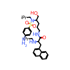 CC(C)CNC(Cc1cccc2ccccc12)C(=O)NCCCC(CO)N(CC(C)C)S(=O)(=O)c1ccc(N)cc1